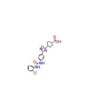 O=C(Nc1ccc(-c2noc(C3CCC(C(=O)O)CC3)n2)cc1)Nc1ccccc1Cl